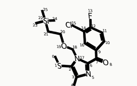 CSc1c(C)nc(C(=O)c2ccc(F)c(Cl)c2)n1COCC[Si](C)(C)C